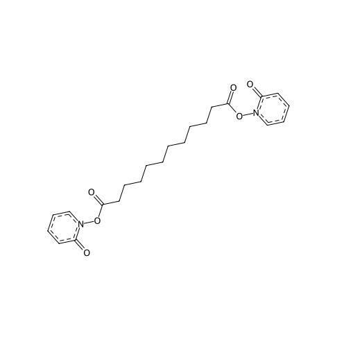 O=C(CCCCCCCCCCC(=O)On1ccccc1=O)On1ccccc1=O